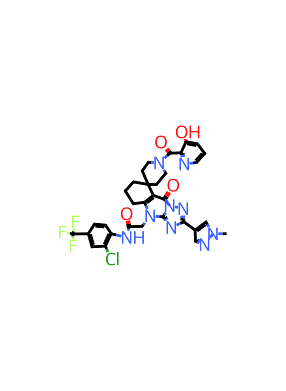 Cn1cc(-c2nc3n(CC(=O)Nc4ccc(C(F)(F)F)cc4Cl)c4c(c(=O)n3n2)C2(CCC4)CCN(C(=O)c3ncccc3O)CC2)cn1